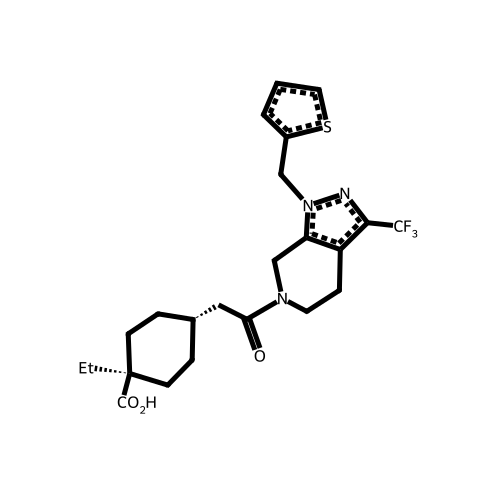 CC[C@]1(C(=O)O)CC[C@H](CC(=O)N2CCc3c(C(F)(F)F)nn(Cc4cccs4)c3C2)CC1